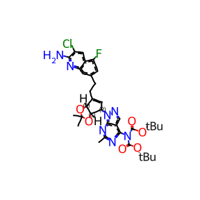 Cc1nc(N(C(=O)OC(C)(C)C)C(=O)OC(C)(C)C)c2cnn([C@@H]3C=C(CCc4cc(F)c5cc(Cl)c(N)nc5c4)[C@H]4OC(C)(C)O[C@H]43)c2n1